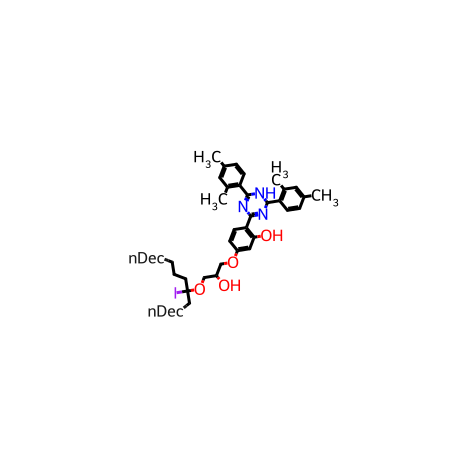 CCCCCCCCCCCCCC(I)(CCCCCCCCCCC)OCC(O)COc1ccc(C2=NC(c3ccc(C)cc3C)NC(c3ccc(C)cc3C)=N2)c(O)c1